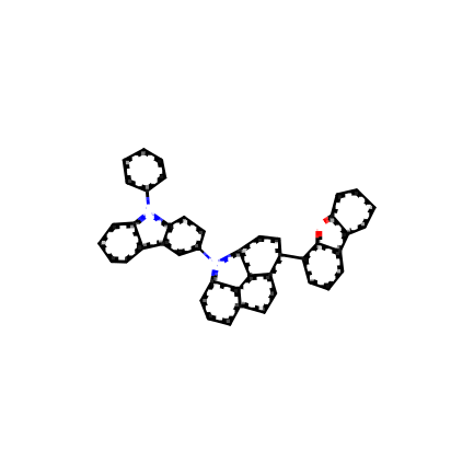 c1ccc(-n2c3ccccc3c3cc(-n4c5cccc6ccc7c(-c8cccc9c8oc8ccccc89)ccc4c7c65)ccc32)cc1